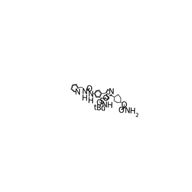 CC(C)(C)NS(=O)(=O)c1cc(NC(=O)NCc2ccccn2)ccc1-c1cnc(C2CCC(OC(N)=O)CC2)s1